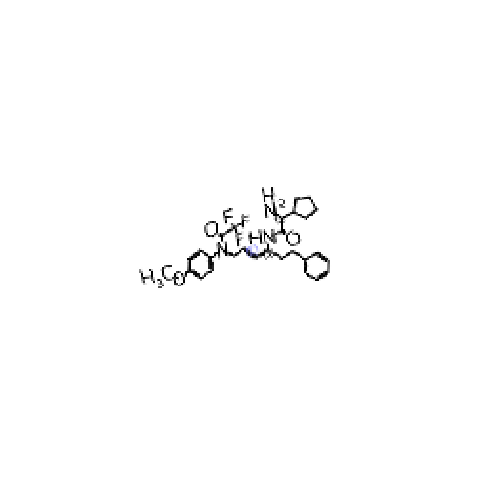 COc1ccc(N(C/C=C/[C@H](CCc2ccccc2)NC(=O)[C@@H](N)C2CCCC2)C(=O)C(F)(F)F)cc1